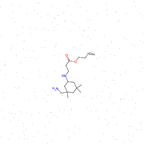 CCCCCCCCCCCCOC(=O)CCNC1CC(C)(C)CC(C)(CN)C1